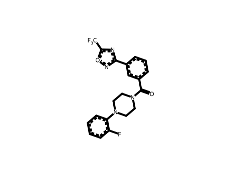 O=C(c1cccc(-c2noc(C(F)(F)F)n2)c1)N1CCN(c2ccccc2F)CC1